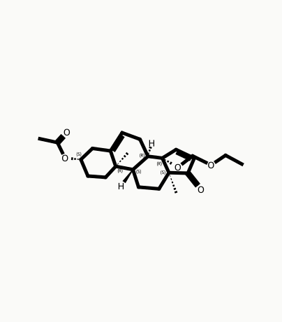 CCOCO[C@]12C=CC(=O)[C@@]1(C)CC[C@H]1[C@H]2CC=C2C[C@@H](OC(C)=O)CC[C@@]21C